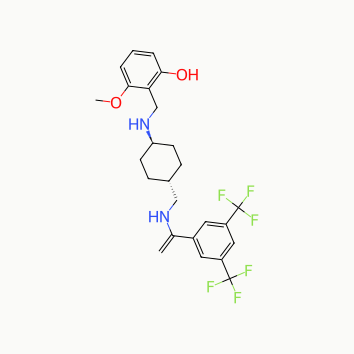 C=C(NC[C@H]1CC[C@H](NCc2c(O)cccc2OC)CC1)c1cc(C(F)(F)F)cc(C(F)(F)F)c1